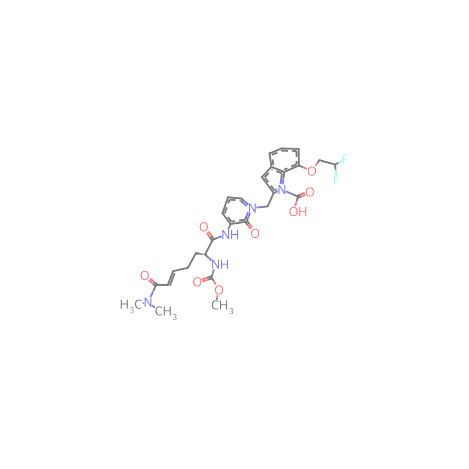 COC(=O)N[C@@H](CC/C=C/C(=O)N(C)C)C(=O)Nc1cccn(Cc2cc3cccc(OCC(F)F)c3n2C(=O)O)c1=O